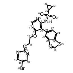 O=S(=O)(Nc1ncnc(OCCOc2ncc(Br)cn2)c1-c1ccc2scnc2c1)C1CC1